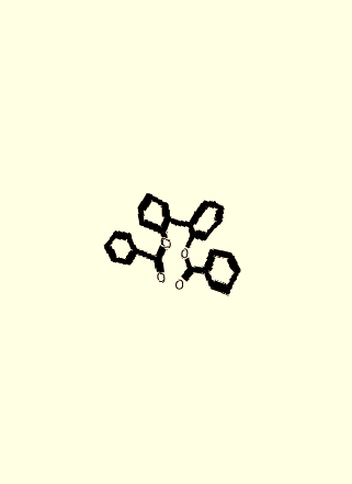 O=C(Oc1ccccc1-c1ccccc1OC(=O)c1ccccc1)c1ccccc1